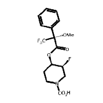 CO[C@@](C(=O)O[C@@H]1CCN(C(=O)O)C[C@@H]1F)(c1ccccc1)C(F)(F)F